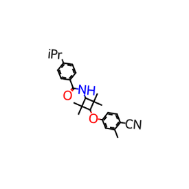 Cc1cc(OC2C(C)(C)C(NC(=O)c3ccc(C(C)C)cc3)C2(C)C)ccc1C#N